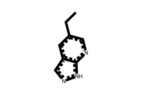 CCc1cnc2[nH]ncc2c1